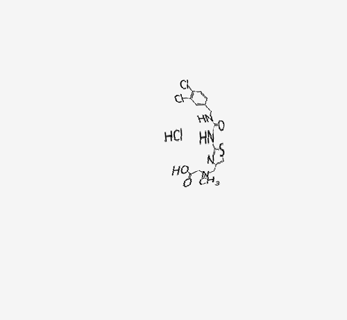 CN(CC(=O)O)Cc1csc(NC(=O)NCc2ccc(Cl)c(Cl)c2)n1.Cl